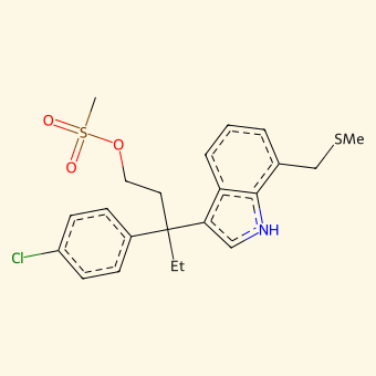 CCC(CCOS(C)(=O)=O)(c1ccc(Cl)cc1)c1c[nH]c2c(CSC)cccc12